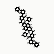 CCc1ccc(-c2cccc3c2sc2ccccc23)c(CC)c1N(c1ccccc1)c1ccc2ccc3c(N(c4ccccc4)c4c(CC)ccc(-c5cccc6c5sc5ccccc56)c4CC)ccc4ccc1c2c43